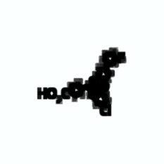 O=C(O)c1ccc(Cc2cc3cc(Cl)ccc3n2S(=O)(=O)c2ccc(-c3cccc(F)c3)cc2)cc1